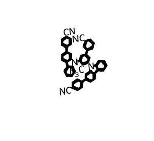 N#Cc1ccc(-c2ccc3c4ccccc4n(-c4cc(-c5cccc(C#N)c5)cc(-n5c6ccccc6c6ccc(-c7ccc(C#N)cc7)cc65)c4C(F)(F)F)c3c2)cc1